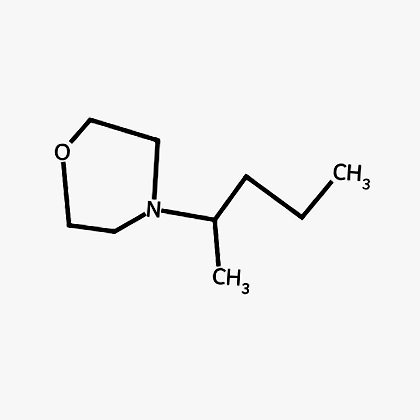 CCCC(C)N1CCOCC1